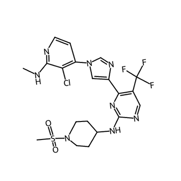 CNc1nccc(-n2cnc(-c3nc(NC4CCN(S(C)(=O)=O)CC4)ncc3C(F)(F)F)c2)c1Cl